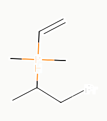 C=C[PH](C)(C)C(C)CC(C)C